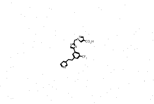 O=C(O)c1cnn(Cc2nc(-c3cc(CCc4cccnc4)cc(C(F)(F)F)c3)cs2)c1